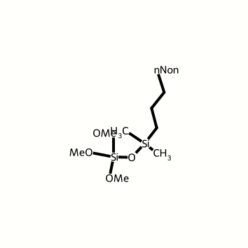 CCCCCCCCCCCC[Si](C)(C)O[Si](OC)(OC)OC